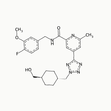 COc1cc(CNC(=O)c2cc(-c3nnn(C[C@H]4CC[C@H](CO)CC4)n3)cc(C)n2)ccc1F